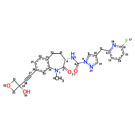 CN1C(=O)[C@@H](NC(=O)n2cc(Cc3cccc(F)n3)cn2)CCc2ccc(C#CC3(O)COC3)cc21